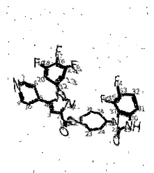 O=C(c1cc(-c2ccncc2)n(-c2cc(F)c(F)c(F)c2)n1)N1CCC(n2c(=O)[nH]c3ccc(F)c(F)c32)CC1